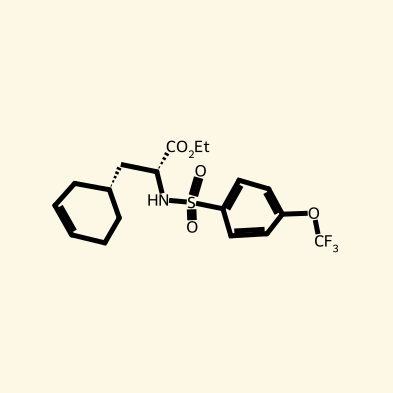 CCOC(=O)[C@@H](C[C@H]1CC=CCC1)NS(=O)(=O)c1ccc(OC(F)(F)F)cc1